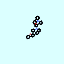 c1ccc2c3ccccc3n(-c3ccccc3-c3cccc(N(c4cccc(-c5cccc6c5oc5ccccc56)c4)c4cccc5ccccc45)c3)c2c#1